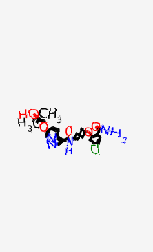 CC(C)(O)COc1ccc2c(C(=O)NC3CC4(C3)CC(Oc3cc(Cl)ccc3C(N)=O)C4)cnn2c1